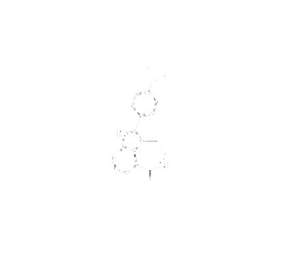 C[S+]([O-])c1ccc(-c2[nH]c3cccc4c3c2CCNC4=O)cc1